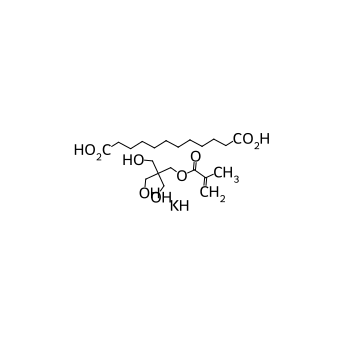 C=C(C)C(=O)OCC(CO)(CO)CO.O=C(O)CCCCCCCCCCC(=O)O.[KH]